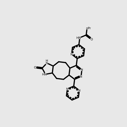 CCCC(=O)Nc1ccc(C2=NN=C(c3ncccn3)C3CCC4NC(=O)NC4CCC23)nc1